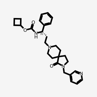 O=C(N[C@@H](CCN1CCC2(CC1)CCN(Cc1cccnc1)C2=O)c1ccccc1)OC1CCC1